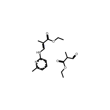 CCOC(=O)/C(C)=C/Nc1cccc(C)n1.CCOC(=O)C(C)C=O